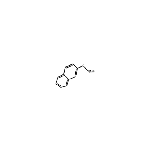 CNSc1ccc2ccccc2c1